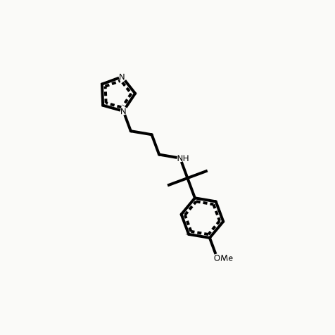 COc1[c]cc(C(C)(C)NCCCn2ccnc2)cc1